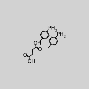 Cc1ccc(P)cc1.Cc1ccc(P)cc1.O=C(O)CCC(=O)O